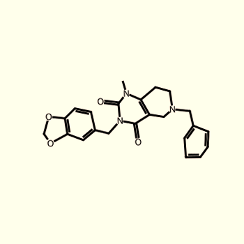 Cn1c2c(c(=O)n(Cc3ccc4c(c3)OCO4)c1=O)CN(Cc1ccccc1)CC2